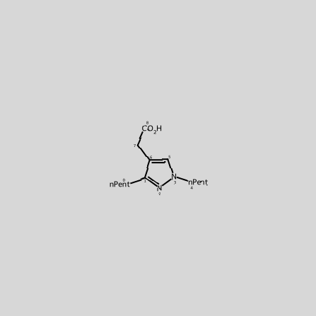 CCCCCc1nn(CCCCC)cc1CC(=O)O